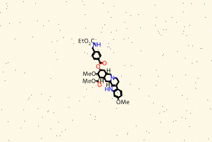 CCOC(=O)NCc1ccc(C(=O)O[C@@H]2C[C@@H]3CN4CCc5c([nH]c6cc(OC)ccc56)[C@H]4C[C@@H]3[C@H](C(=O)OC)[C@H]2OC)cc1